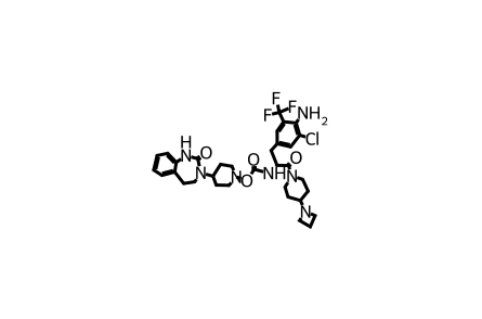 Nc1c(Cl)cc(CC(NC(=O)ON2CCC(N3CCc4ccccc4NC3=O)CC2)C(=O)N2CCC(N3CCC3)CC2)cc1C(F)(F)F